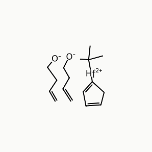 C=CCC[O-].C=CCC[O-].C[C](C)(C)[Hf+2][C]1=CC=CC1